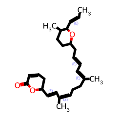 C/C=C/C1OC(C/C=C/C=C(\C)CC/C=C(C)\C=C\C2CC=CC(=O)O2)CCC1C